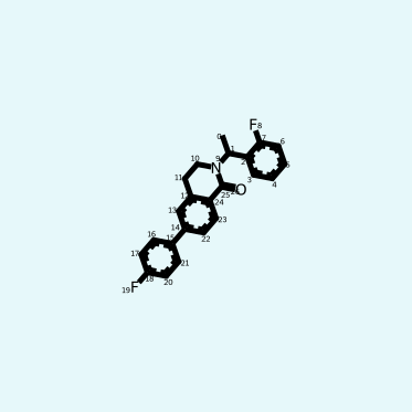 CC(c1ccccc1F)N1CCc2cc(-c3ccc(F)cc3)ccc2C1=O